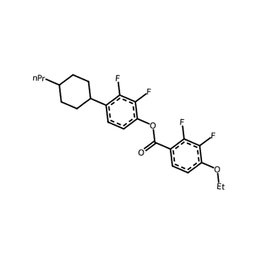 CCCC1CCC(c2ccc(OC(=O)c3ccc(OCC)c(F)c3F)c(F)c2F)CC1